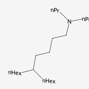 CCCCCCC(CCCCCC)CCCCN(CCC)CCC